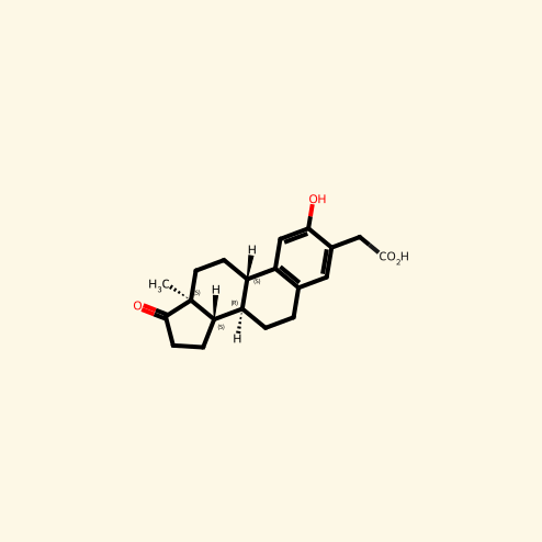 C[C@]12CC[C@@H]3c4cc(O)c(CC(=O)O)cc4CC[C@H]3[C@@H]1CCC2=O